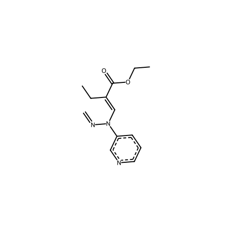 C=NN(/C=C(\CC)C(=O)OCC)c1cccnc1